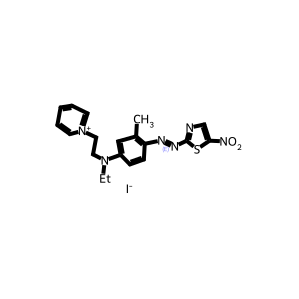 CCN(CC[n+]1ccccc1)c1ccc(/N=N/c2ncc([N+](=O)[O-])s2)c(C)c1.[I-]